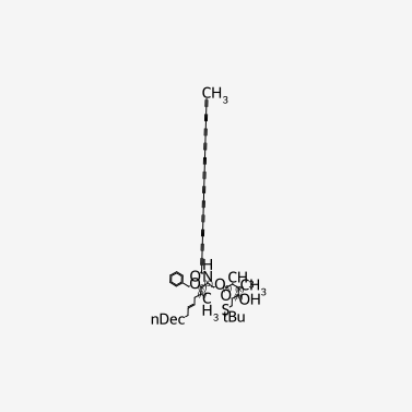 CC#CC#CC#CC#CC#CC#CC#CC#CC#CC#CC#CC#CC(=O)N[C@@H](CO[C@H]1OC(CSC(C)(C)C)[C@H](O)[C@H](C)C1C)[C@H](OCc1ccccc1)[C@H](C)CC=CCCCCCCCCCCC